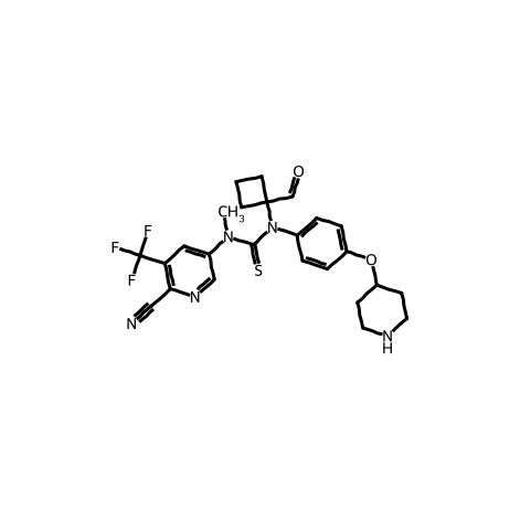 CN(C(=S)N(c1ccc(OC2CCNCC2)cc1)C1(C=O)CCC1)c1cnc(C#N)c(C(F)(F)F)c1